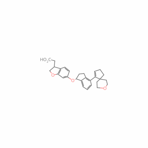 O=C(O)CC1COc2cc(O[C@@H]3CCc4c(C5=CCCC56CCOCC6)cccc43)ccc21